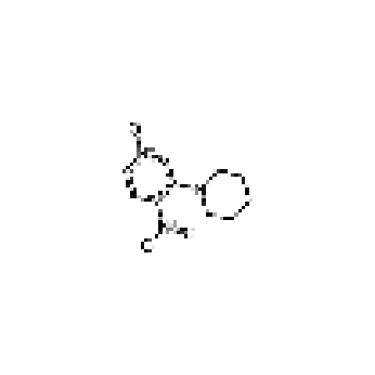 O=[N+]([O-])c1cc[n+]([O-])cc1N1CCCCC1